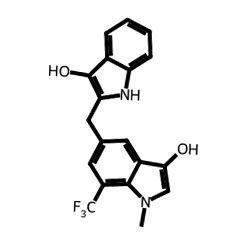 Cn1cc(O)c2cc(Cc3[nH]c4ccccc4c3O)cc(C(F)(F)F)c21